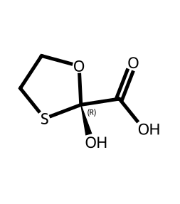 O=C(O)[C@@]1(O)OCCS1